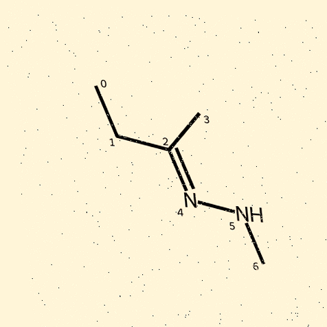 CC/C(C)=N/NC